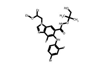 CCOC(CC)Cn1cnc2c(F)c(Nc3ccc(Br)cc3F)c(C(=O)NOC(C)(C)CO)cc21